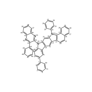 c1ccc(-c2ccc3c(c2)c2cc4c5ccc6ccccc6c5n(-c5ccccc5)c4cc2n3-c2nc3ccccc3nc2-c2ccccc2)cc1